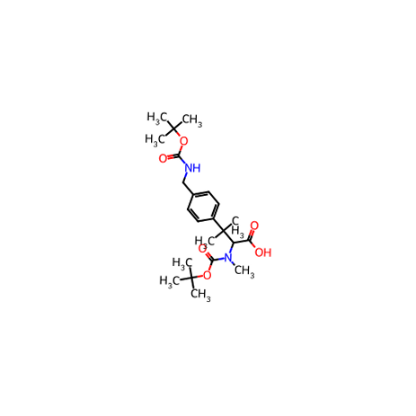 CN(C(=O)OC(C)(C)C)C(C(=O)O)C(C)(C)c1ccc(CNC(=O)OC(C)(C)C)cc1